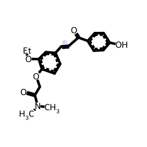 CCOc1cc(/C=C/C(=O)c2ccc(O)cc2)ccc1OCC(=O)N(C)C